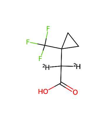 [2H]C([2H])(C(=O)O)C1(C(F)(F)F)CC1